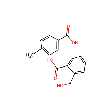 Cc1ccc(C(=O)O)cc1.O=C(O)c1ccccc1CO